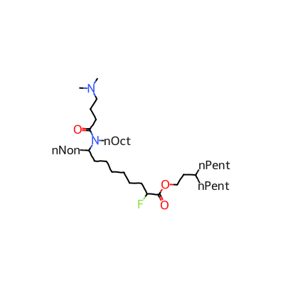 CCCCCCCCCC(CCCCCCC(F)C(=O)OCCC(CCCCC)CCCCC)N(CCCCCCCC)C(=O)CCCN(C)C